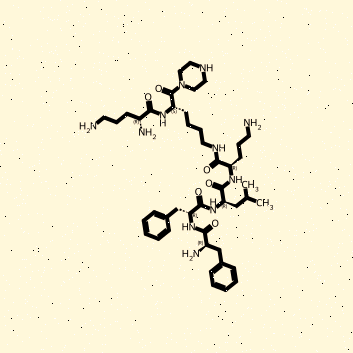 CC(C)C[C@@H](NC(=O)[C@@H](Cc1ccccc1)NC(=O)[C@H](N)Cc1ccccc1)C(=O)N[C@H](CCCN)C(=O)NCCCC[C@H](NC(=O)[C@H](N)CCCN)C(=O)N1CCNCC1